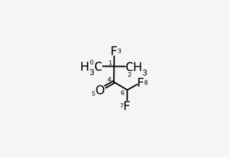 CC(C)(F)C(=O)C(F)F